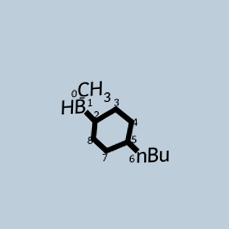 CBC1CCC(CCCC)CC1